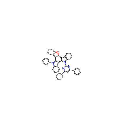 c1ccc(-c2cc(-c3ccccc3)nc(-n3c4ccccc4c4c5oc6ccccc6c5c5c(c6ccccc6n5-c5ccccc5)c43)n2)cc1